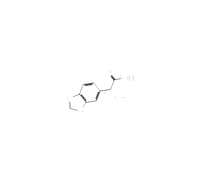 C[C@@H](C(=O)O)c1ccc2c(c1)OCO2